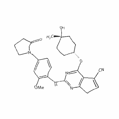 COc1cc(N2CCCC2=O)ccc1Nc1nc2c(c(O[C@H]3CC[C@@](C)(O)CC3)n1)C(C#N)=CC2